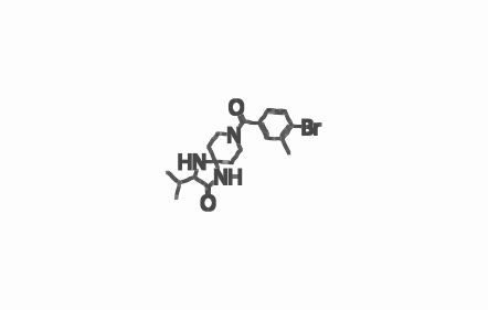 Cc1cc(C(=O)N2CCC3(CC2)NC(=O)C(C(C)C)N3)ccc1Br